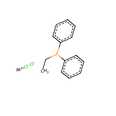 CCP(c1ccccc1)c1ccccc1.[Cl-].[Cl-].[Ni+2]